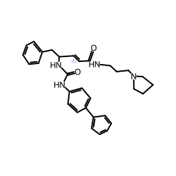 O=C(/C=C/C(Cc1ccccc1)NC(=O)Nc1ccc(-c2ccccc2)cc1)NCCCN1CCCC1